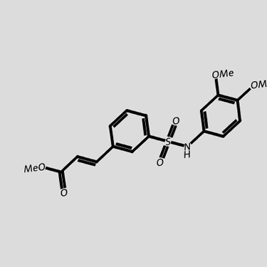 COC(=O)/C=C/c1cccc(S(=O)(=O)Nc2ccc(OC)c(OC)c2)c1